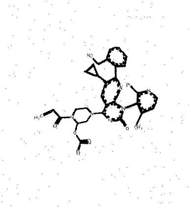 C=CC(=O)N1CCN(c2nc(=O)n(-c3c(C)ccnc3C(C)C)c3nc(-c4ccccc4CO)c(C4CC4)cc23)CC1OC(=O)CC